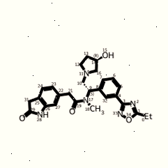 CCc1nc(-c2cccc([C@@H](CN3CC[C@@H](O)C3)N(C)C(=O)Cc3ccc4c(c3)NC(=O)C4)c2)no1